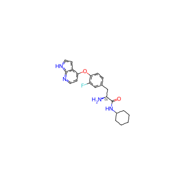 N[C@@H](Cc1ccc(Oc2ccnc3[nH]ccc23)c(F)c1)C(=O)NC1CCCCC1